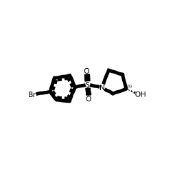 O=S(=O)(c1ccc(Br)cc1)N1CC[C@H](O)C1